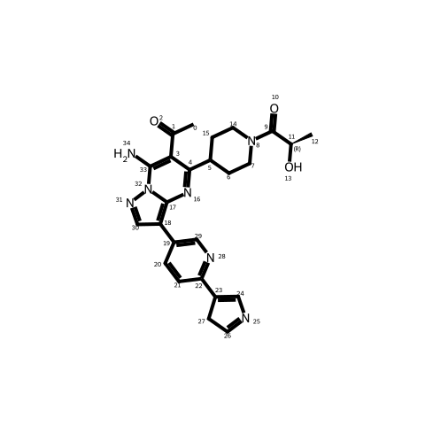 CC(=O)c1c(C2CCN(C(=O)[C@@H](C)O)CC2)nc2c(-c3ccc(C4=CN=CC4)nc3)cnn2c1N